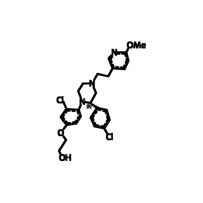 COc1ccc(CCN2CCN(c3ccc(OCCO)cc3Cl)[C@H](c3ccc(Cl)cc3)C2)cn1